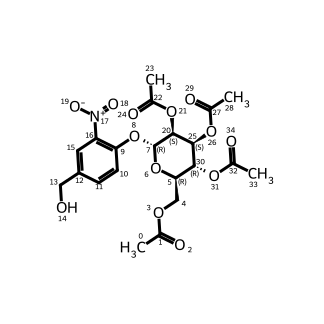 CC(=O)OC[C@H]1O[C@H](Oc2ccc(CO)cc2[N+](=O)[O-])[C@@H](OC(C)=O)[C@@H](OC(C)=O)[C@@H]1OC(C)=O